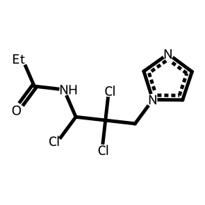 CCC(=O)NC(Cl)C(Cl)(Cl)Cn1ccnc1